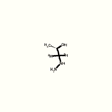 [2H]C([2H])(NN)[C@H](C)O